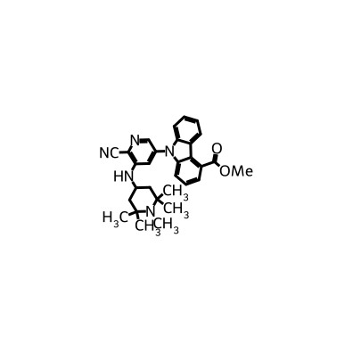 COC(=O)c1cccc2c1c1ccccc1n2-c1cnc(C#N)c(NC2CC(C)(C)N(C)C(C)(C)C2)c1